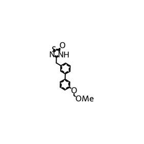 COCOc1cccc(-c2cccc(Cc3nsc(=O)[nH]3)c2)c1